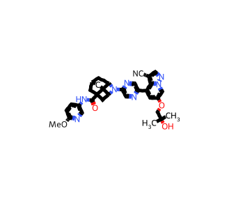 COc1ccc(NC(=O)C23CC4CC5N(c6cnc(-c7cc(OCC(C)(C)O)cn8ncc(C#N)c78)cn6)C(C2)C53C4)cn1